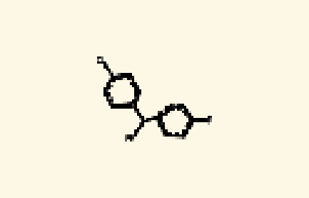 CC(C)C(c1ccc(Cl)cc1)c1ccc(F)cn1